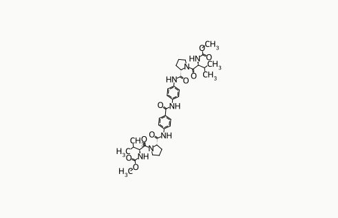 COC(=O)N[C@H](C(=O)N1CCC[C@H]1C(=O)Nc1ccc(NC(=O)c2ccc(NC(=O)[C@@H]3CCCN3C(=O)[C@@H](NC(=O)OC)C(C)C)cc2)cc1)C(C)C